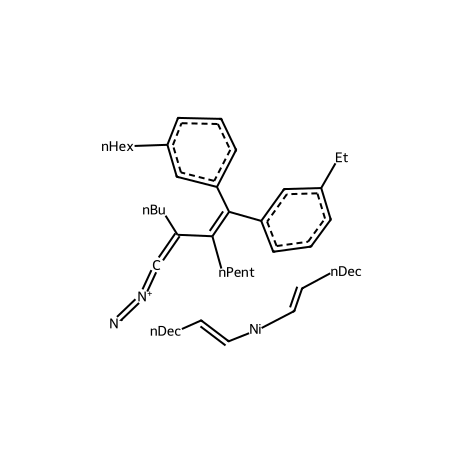 CCCCCCCCCCC=[CH][Ni][CH]=CCCCCCCCCCC.CCCCCCc1cccc(C(=C(CCCCC)C(=C=[N+]=[N-])CCCC)c2cccc(CC)c2)c1